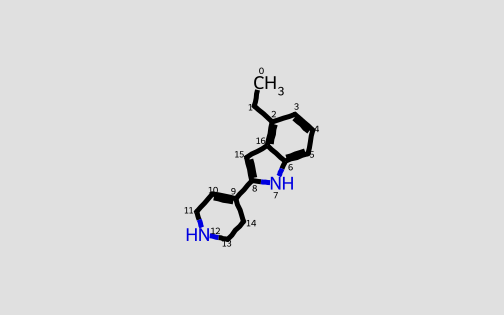 CCc1cccc2[nH]c(C3=CCNCC3)cc12